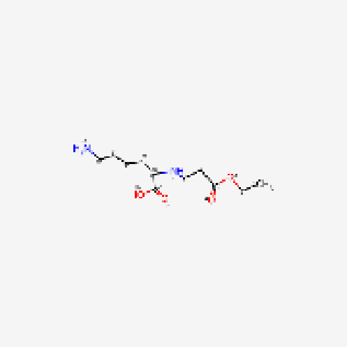 CCOC(=O)CCN[C@@H](CCCCN)C(=O)O